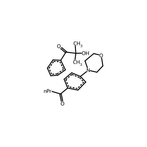 CC(C)(O)C(=O)c1ccccc1.CCCC(=O)c1ccc(N2CCOCC2)cc1